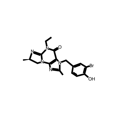 CCN1C(=O)c2c(nc(C)n2Cc2ccc(O)c(Br)c2)N2C[C@@H](C)N=C12